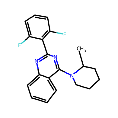 CC1CCCCN1c1nc(-c2c(F)cccc2F)nc2ccccc12